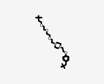 CC(C)(C)CCOCCOCCOCCN1CCN(CCOc2ccc(CC(C)(C)C)cc2)CC1